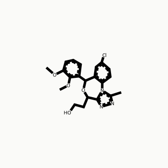 COc1cccc(C2OC(CCO)c3nnc(C)n3-c3ccc(Cl)cc32)c1OC